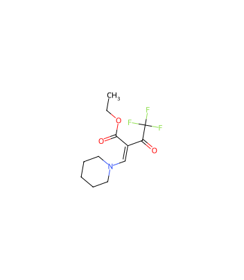 CCOC(=O)/C(=C\N1CCCCC1)C(=O)C(F)(F)F